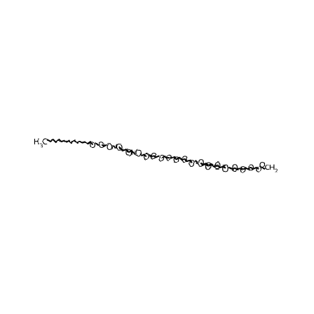 C=CC(=O)OCCOCCOCCOCCOCCOCCOCCOCCOCCOCCOCCOCCOCCOCCOCCOCCOCCOCCOCCOCCOCCCCCCCCCCCCCCCCCC